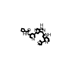 O=C(Nc1cncc(-c2cc3c(-c4cc5c(-c6ccsc6)nccc5[nH]4)n[nH]c3cn2)c1)C1CCCC1